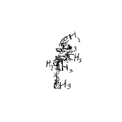 CCCCCCCC(C)(CCCC)c1ccc2nc(C(C)(C)CCCCCC)cnc2c1